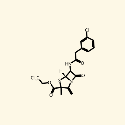 C=C1N2C(=O)C(NC(=O)Cc3cccc(Cl)c3)[C@H]2SC1(C)C(=O)OCC(Cl)(Cl)Cl